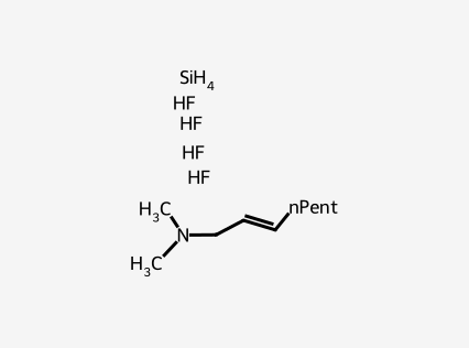 CCCCCC=CCN(C)C.F.F.F.F.[SiH4]